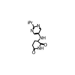 CC(C)c1ncc(NC2CCC(=O)NC2=O)cn1